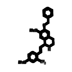 COc1ccc(C=CC2NCCc3cc(OCc4ccccc4)c(OC)cc32)c(C(F)(F)F)c1